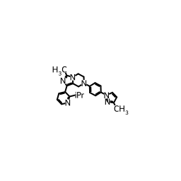 Cc1ccn(-c2ccc(N3CCn4c(C)nc(-c5cccnc5C(C)C)c4C3)cc2)n1